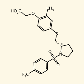 Cc1cc(SC[C@@H]2CCCN2S(=O)(=O)c2ccc(C(F)(F)F)cc2)ccc1OCC(=O)O